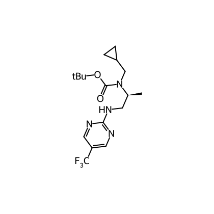 C[C@@H](CNc1ncc(C(F)(F)F)cn1)N(CC1CC1)C(=O)OC(C)(C)C